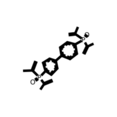 C=C(C)P(=O)(C(=C)C)c1ccc(-c2ccc(P(=O)(C(=C)C)C(=C)C)cc2)cc1